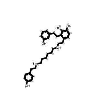 Oc1ccc(CCNCCCCCCNCCc2ccc(O)c(O)c2CCc2cccc(O)c2)cc1